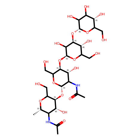 CC(=O)NC1[C@H](O[C@@H]2C(CO)O[C@@H](C)C(NC(C)=O)[C@H]2O)OC(CO)[C@@H](O[C@@H]2OC(CO)[C@@H](O)[C@H](O[C@H]3OC(CO)[C@@H](O)C(O)C3O)C2O)[C@@H]1O